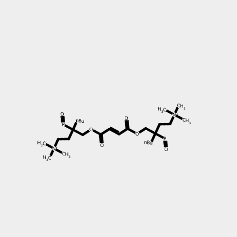 CCCCC(CC[N+](C)(C)C)(COC(=O)/C=C/C(=O)OCC(CCCC)(CC[N+](C)(C)C)P=O)P=O